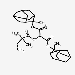 CCC(C)(C)C(=O)OC(C(=O)OC1(C)C2CC3CC(C2)CC1C3)C(=O)OC1(C)C2CC3CC(C2)CC1C3